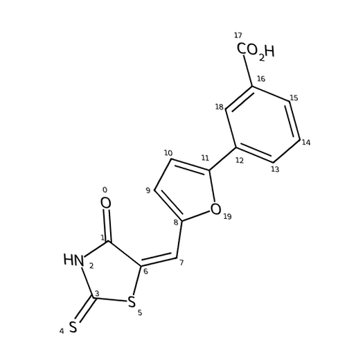 O=C1NC(=S)SC1=Cc1ccc(-c2cccc(C(=O)O)c2)o1